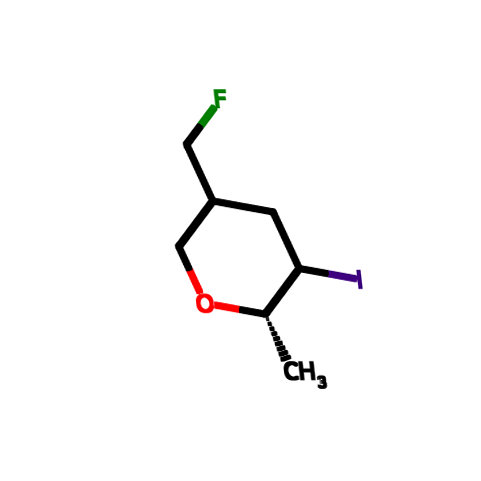 C[C@@H]1OCC(CF)CC1I